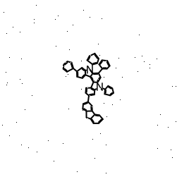 c1ccc(-c2ccc3c4c5c6ccc(-c7ccc8c(c7)-c7ccccc7C8)cc6n(-c6ccccc6)c5cc(-c5ccccc5)c4n(-c4ccccc4)c3c2)cc1